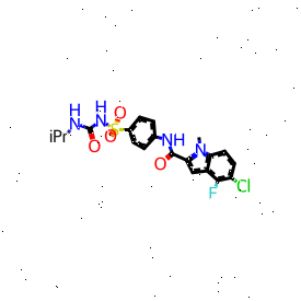 CC(C)NC(=O)NS(=O)(=O)c1ccc(NC(=O)c2cc3c(F)c(Cl)ccc3n2C)cc1